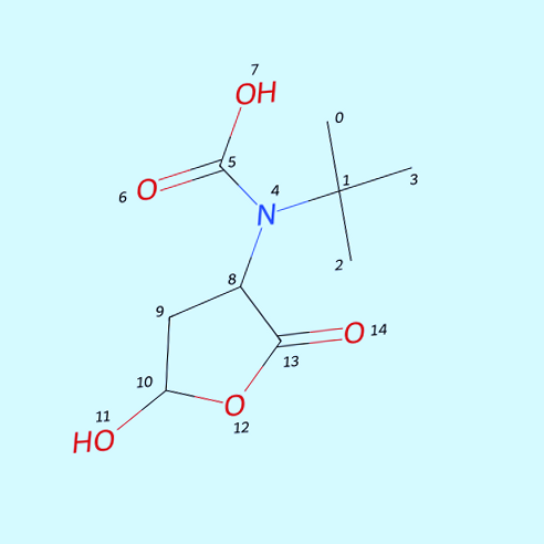 CC(C)(C)N(C(=O)O)C1CC(O)OC1=O